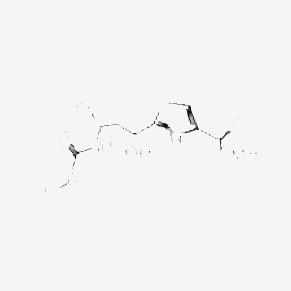 COC(=O)c1csc([C@H](O)C[C@@H](NC(=O)OC(C)(C)C)C(C)C)n1